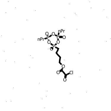 CCCP1(=O)OP(=O)(CCC)OP(=O)(CCCCOC(=O)C(=O)Cl)O1